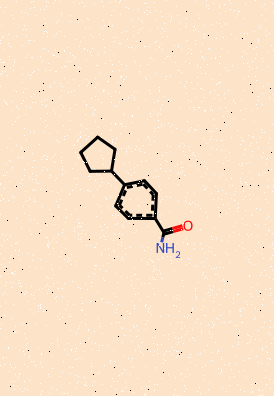 NC(=O)c1ccc(C2CCCC2)cc1